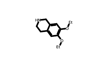 CCOc1cc2c(cc1OCC)CNCC2